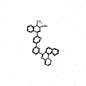 CCCCC1C=C(c2ccc(-c3cccc(C4=NC5=CC=CCC5c5c4ccc4ccccc54)c3)cn2)c2cccnc2C1C